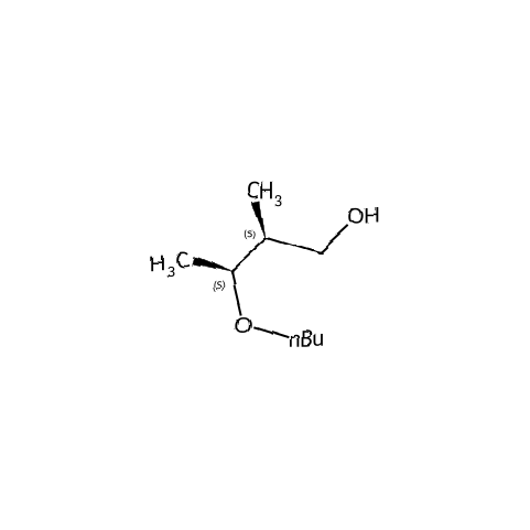 CCCCO[C@@H](C)[C@@H](C)CO